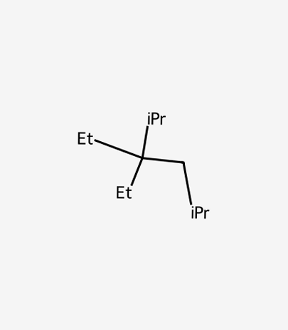 [CH2]C(C)C(CC)(CC)CC(C)C